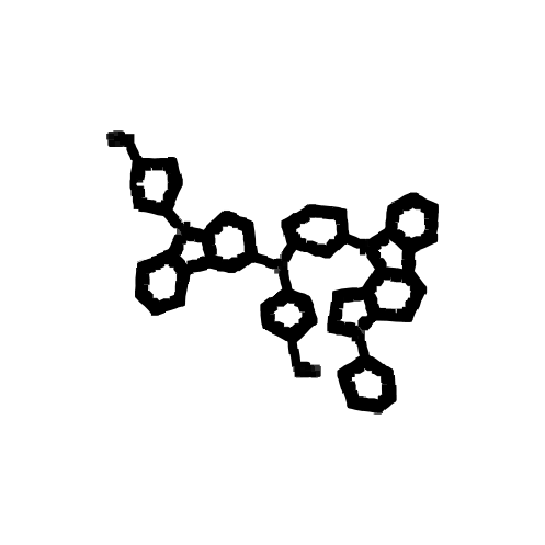 CC(C)(C)c1ccc(N(c2cccc(-n3c4ccccc4c4ccc5c(ccn5-c5ccccc5)c43)c2)c2ccc3c(c2)c2ccccc2n3-c2ccc(C(C)(C)C)cc2)cc1